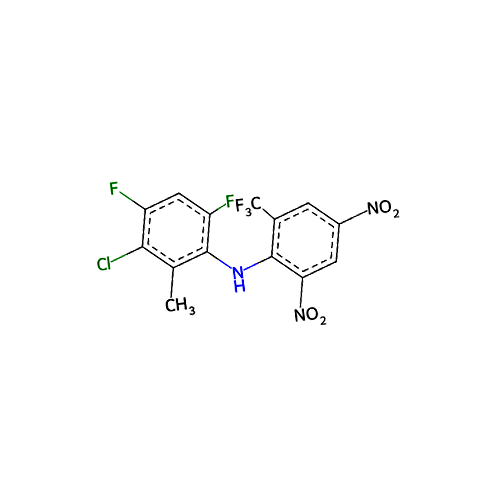 Cc1c(Cl)c(F)cc(F)c1Nc1c([N+](=O)[O-])cc([N+](=O)[O-])cc1C(F)(F)F